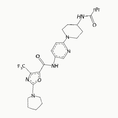 CCCC(=O)NC1CCN(c2ccc(NC(=O)c3oc(N4CCCCC4)nc3C(F)(F)F)cn2)CC1